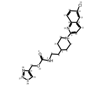 O=C(NCCC1CCN(c2ccc3cc(Cl)ccc3n2)CC1)OCc1csnn1